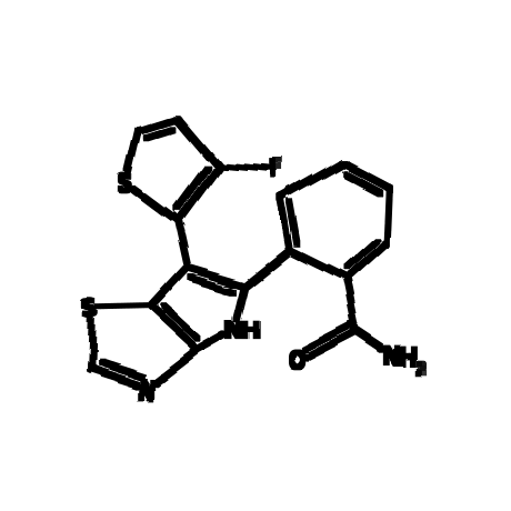 NC(=O)c1ccccc1-c1[nH]c2ncsc2c1-c1sccc1F